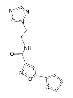 O=C(NCCn1cncn1)c1cc(-c2ccco2)on1